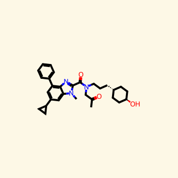 CC(=O)CN(CCC[C@H]1CC[C@H](O)CC1)C(=O)c1nc2c(-c3ccccc3)cc(C3CC3)cc2n1C